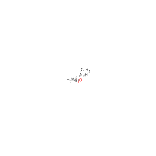 O.[CaH2].[MgH2].[NaH]